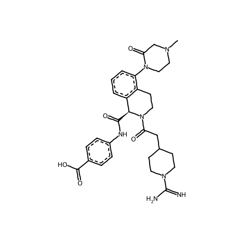 CN1CCN(c2cccc3c2CCN(C(=O)CC2CCN(C(=N)N)CC2)[C@H]3C(=O)Nc2ccc(C(=O)O)cc2)C(=O)C1